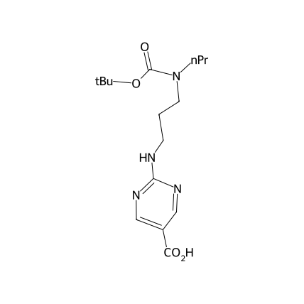 CCCN(CCCNc1ncc(C(=O)O)cn1)C(=O)OC(C)(C)C